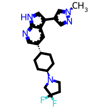 Cn1cc(-c2c[nH]c3ncc([C@H]4CC[C@H](N5CCC(F)(F)C5)CC4)cc23)cn1